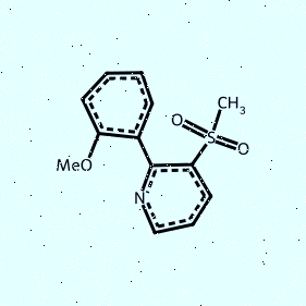 COc1ccccc1-c1ncccc1S(C)(=O)=O